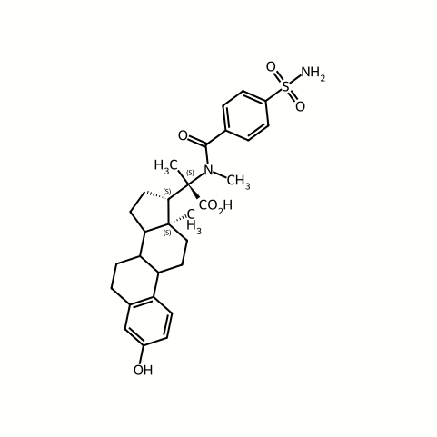 CN(C(=O)c1ccc(S(N)(=O)=O)cc1)[C@](C)(C(=O)O)[C@H]1CCC2C3CCc4cc(O)ccc4C3CC[C@@]21C